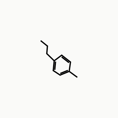 CCCc1ccc(C)cc1